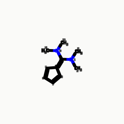 CN(C)C(=C1C=CC=C1)N(C)C